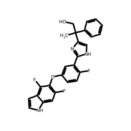 CC(CO)(c1ccccc1)c1c[nH]c(-c2cc(Oc3c(F)cc4[nH]ccc4c3F)ccc2F)n1